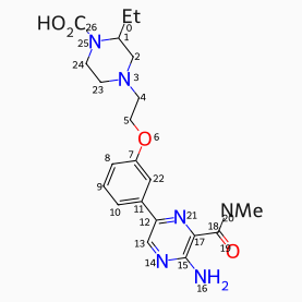 CCC1CN(CCOc2cccc(-c3cnc(N)c(C(=O)NC)n3)c2)CCN1C(=O)O